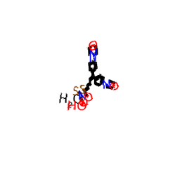 C=C(OO)N1C(=O)/C(=C/C=C/C=C(c2ccc(N3CCOCC3)cc2)c2ccc(N3CCOCC3)cc2)SC1=S